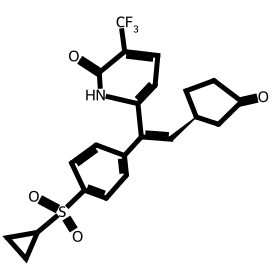 O=C1CC[C@H](/C=C(/c2ccc(S(=O)(=O)C3CC3)cc2)c2ccc(C(F)(F)F)c(=O)[nH]2)C1